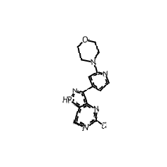 Clc1ncc2[pH]nc(-c3ccnc(N4CCOCC4)c3)c2n1